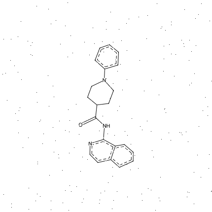 O=C(Nc1nccc2ccccc12)C1CCN(c2ccccc2)CC1